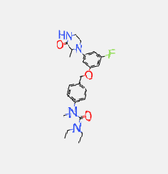 CCN(CC)C(=O)N(C)c1ccc(COc2cc(F)cc(N3CCNC(=O)C3C)c2)cc1